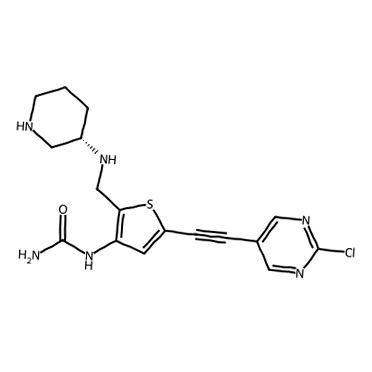 NC(=O)Nc1cc(C#Cc2cnc(Cl)nc2)sc1CN[C@H]1CCCNC1